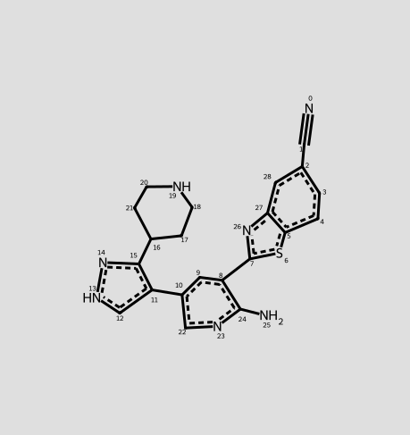 N#Cc1ccc2sc(-c3cc(-c4c[nH]nc4C4CCNCC4)cnc3N)nc2c1